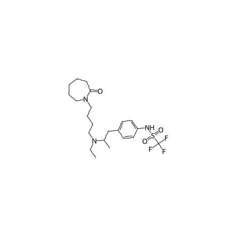 CCN(CCCCN1CCCCCC1=O)C(C)Cc1ccc(NS(=O)(=O)C(F)(F)F)cc1